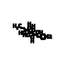 C=CCC(O)[C@H](O)[C@@H](O)[C@H](O)[C@H](O)C(O)=Cc1ccc(CC)cc1